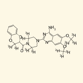 [2H]C([2H])([2H])Oc1cc2nc(N3CC([2H])([2H])N(C(=O)C4Oc5ccccc5OC4([2H])[2H])C([2H])([2H])C3)nc(N)c2cc1OC([2H])([2H])[2H]